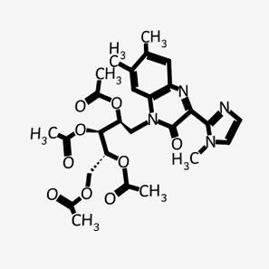 CC(=O)OC[C@@H](OC(C)=O)[C@@H](OC(C)=O)[C@H](Cn1c(=O)c(-c2nccn2C)nc2cc(C)c(C)cc21)OC(C)=O